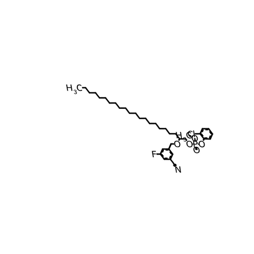 CCCCCCCCCCCCCCCCCCCCC(COP(=O)(OC)Oc1ccccc1Cl)OCc1cc(F)cc(C#N)c1